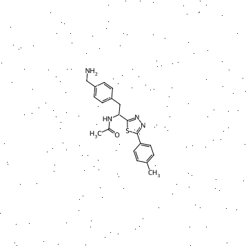 CC(=O)NC(Cc1ccc(CN)cc1)c1nnc(-c2ccc(C)cc2)s1